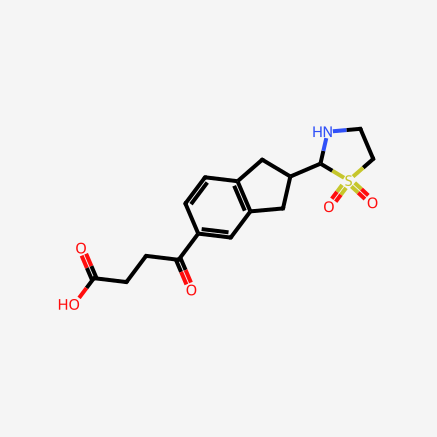 O=C(O)CCC(=O)c1ccc2c(c1)CC(C1NCCS1(=O)=O)C2